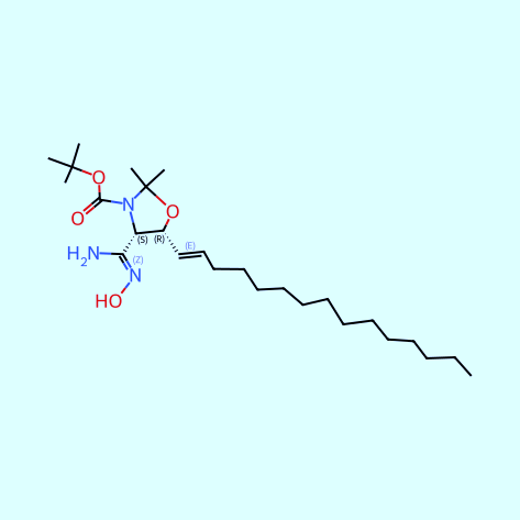 CCCCCCCCCCCCC/C=C/[C@H]1OC(C)(C)N(C(=O)OC(C)(C)C)[C@H]1/C(N)=N/O